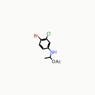 CC(=O)OC(C)Nc1ccc(Br)c(Cl)c1